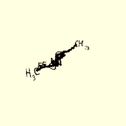 CCCCCCCCCc1ccc(-c2ncc(OCCC(F)CC(F)CCC)cn2)cc1